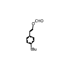 CC(C)(C)c1ccc(C=COC=O)cc1